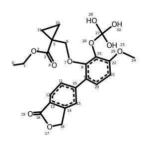 CCOC(=O)C1(COc2c(-c3ccc4c(c3)COC4=O)ccc(OC)c2OC(O)(O)O)CC1